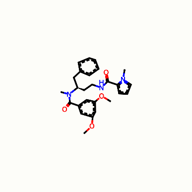 COc1cc(OC)cc(C(=O)N(C)[C@H](CCNC(=O)c2cccn2C)Cc2ccccc2)c1